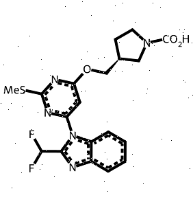 CSc1nc(OC[C@H]2CCN(C(=O)O)C2)cc(-n2c(C(F)F)nc3ccccc32)n1